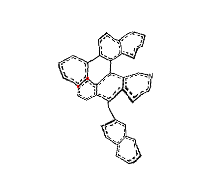 c1ccc(-c2ccc3ccccc3c2-c2c3ccccc3c(-c3ccc4ccccc4c3)c3ccncc23)cc1